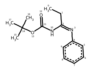 CC/C(=N/c1ccccc1)NC(=O)OC(C)(C)C